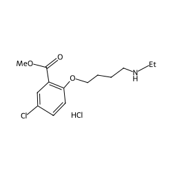 CCNCCCCOc1ccc(Cl)cc1C(=O)OC.Cl